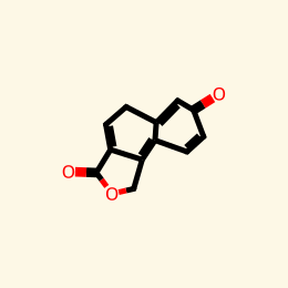 O=C1C=CC2=C3COC(=O)C3=CCC2=C1